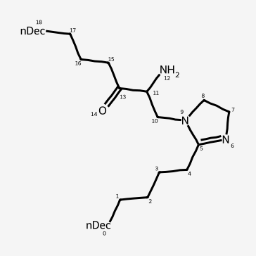 CCCCCCCCCCCCCCC1=NCCN1CC(N)C(=O)CCCCCCCCCCCCC